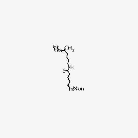 C=C(CCCCNC(=S)CCCCCCCCCCCCC)NCC